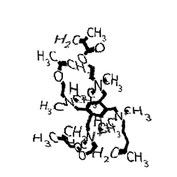 C=C(C)CCC[N+](C)(C)Cc1cc(C[N+](C)(C)CCOOCC(=C)C)c(C[N+](C)(C)CCOC(=C)C)cc1C[N+](C)(C)CCOC(=O)C(=C)C